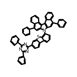 c1ccc(-c2nc(-c3ccccc3)nc(-c3ccc4c(c3)sc3c(-n5c6cc(-c7ccccc7)c7ccccc7c6c6c7ccccc7c(-c7ccccc7)cc65)cccc34)n2)cc1